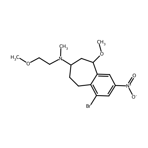 COCCN(C)C1CCc2c(Br)cc([N+](=O)[O-])cc2C(OC)C1